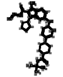 Cc1c(C(=O)NN=N)n(C2CCCC2)c2nc(NC3C=CC(N4CCN(C(=O)OC(C)(C)C)CC4)=CN3)ncc12